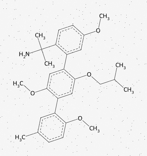 COc1[c]cc(C(C)(C)N)c(-c2cc(OC)c(-c3cc(C)ccc3OC)cc2OCC(C)C)c1